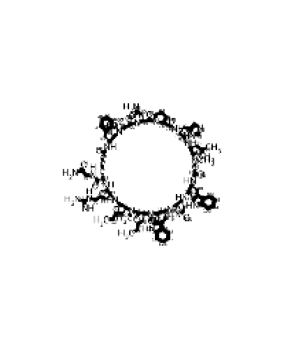 CCCC[C@H]1C(=O)N(C)[C@@H](CCCC)C(=O)N[C@@H](CCCNC(=N)N)C(=O)N[C@H](C(=O)NCC(N)=O)CSCC(=O)N[C@@H](Cc2ccccc2)C(=O)N(C)[C@@H](C)C(=O)N[C@@H](CC(N)=O)C(=O)N2CCC[C@H]2C(=O)N[C@@H](Cc2cnc[nH]2)C(=O)N[C@@H](CC(C)C)C(=O)N(C)CC(=O)N[C@@H](Cc2c[nH]c3ccccc23)C(=O)N[C@H](CC(N)=O)C(=O)N[C@@H](Cc2c[nH]c3ccccc23)C(=O)N1C